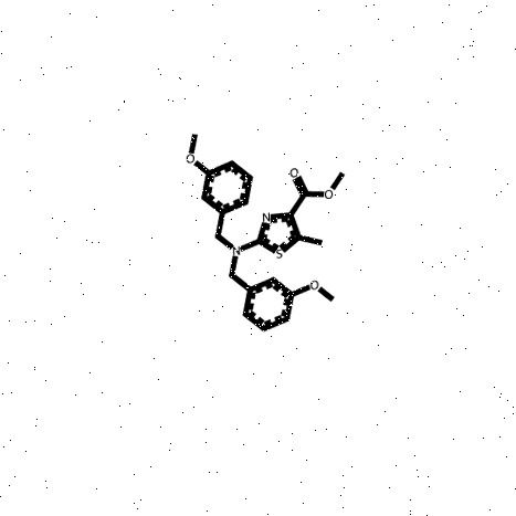 COC(=O)c1nc(N(Cc2cccc(OC)c2)Cc2cccc(OC)c2)sc1C